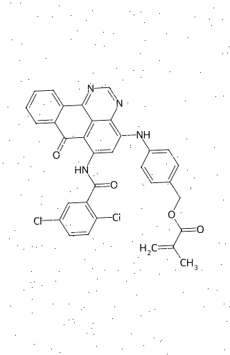 C=C(C)C(=O)OCc1ccc(Nc2cc(NC(=O)c3cc(Cl)ccc3Cl)c3c4c(ncnc24)-c2ccccc2C3=O)cc1